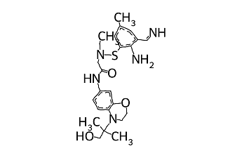 CCN(CC(=O)Nc1ccc2c(c1)OCCN2C(C)(C)CO)Sc1cc(C)cc(C=N)c1N